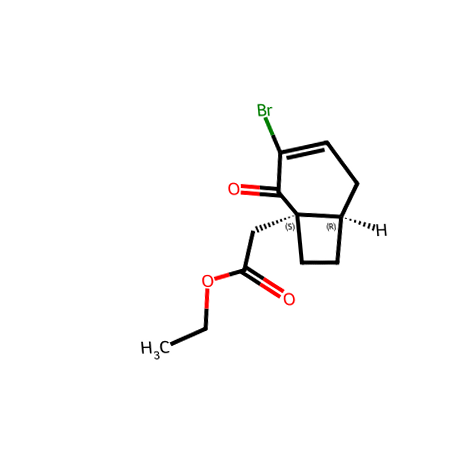 CCOC(=O)C[C@@]12CC[C@@H]1CC=C(Br)C2=O